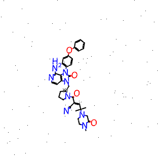 CN1CCN(C(C)(C)C=C(C#N)C(=O)N2CCC[C@H]2Cn2c(=O)n(-c3ccc(Oc4ccccc4)cc3)c3c(N)nccc32)CC1=O